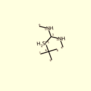 CNC(NC)[SiH2]C(C)(C)C